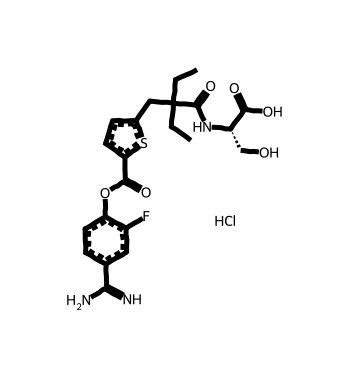 CCC(CC)(Cc1ccc(C(=O)Oc2ccc(C(=N)N)cc2F)s1)C(=O)N[C@@H](CO)C(=O)O.Cl